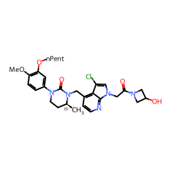 CCCCCOc1cc(N2CC[C@H](C)N(Cc3ccnc4c3c(Cl)cn4CC(=O)N3CC(O)C3)C2=O)ccc1OC